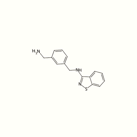 NCc1cccc(CNc2nsc3ccccc23)c1